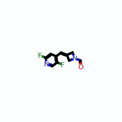 O=CN1CC(=Cc2cc(F)ncc2F)C1